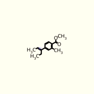 C/C=C(\CC)c1ccc(C(=O)OC)c(C)c1